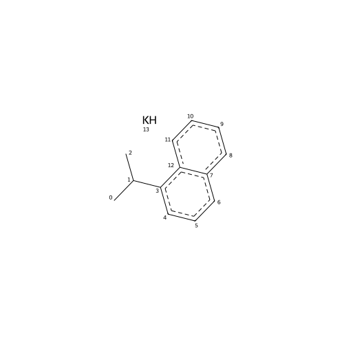 CC(C)c1cccc2ccccc12.[KH]